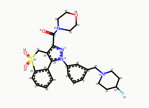 O=C(c1nn(-c2cccc(CN3CCC(F)CC3)c2)c2c1CS(=O)(=O)c1ccccc1-2)N1CCOCC1